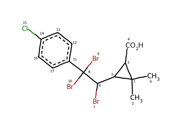 CC1(C)C(C(=O)O)C1C(Br)C(Br)(Br)c1ccc(Cl)cc1